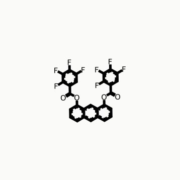 O=C(Oc1cccc2cc3cccc(OC(=O)c4cc(F)c(F)c(F)c4F)c3cc12)c1cc(F)c(F)c(F)c1F